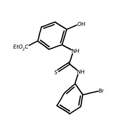 CCOC(=O)c1ccc(O)c(NC(=S)Nc2ccccc2Br)c1